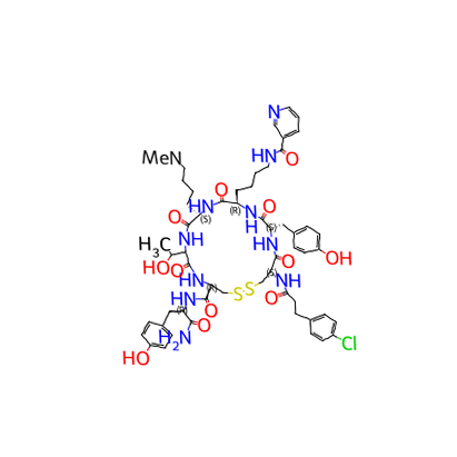 CNCCCC[C@@H]1NC(=O)[C@@H](CCCCNC(=O)c2cccnc2)NC(=O)[C@H](Cc2ccc(O)cc2)NC(=O)[C@H](NC(=O)CCc2ccc(Cl)cc2)CSSC[C@@H](C(=O)N[C@H](Cc2ccc(O)cc2)C(N)=O)NC(=O)C(C(C)O)NC1=O